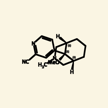 CO[C@]1(c2ccnc(C#N)c2)[C@@H]2CCC[C@H]1CN(C)C2